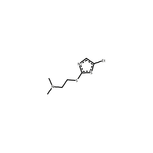 CCc1cnc(SCCN(C)C)s1